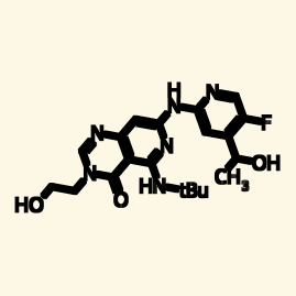 CC(O)c1cc(Nc2cc3ncn(CCO)c(=O)c3c(NC(C)(C)C)n2)ncc1F